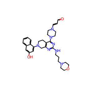 O=CC=CN1CCN(c2nc(NCCCN3CCOCC3)nc3c2CCN(c2cc(O)cc4ccccc24)C3)CC1